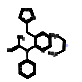 N=C(N)N(c1ccccc1)c1ncccc1Cc1cccs1.O=C(O)/C=C\C(=O)O